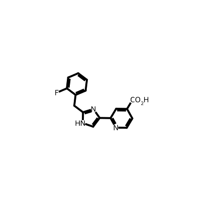 O=C(O)c1ccnc(-c2c[nH]c(Cc3ccccc3F)n2)c1